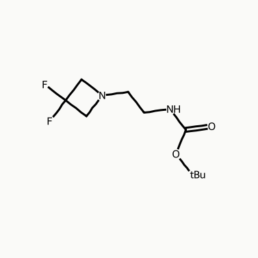 CC(C)(C)OC(=O)NCCN1CC(F)(F)C1